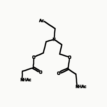 CC(=O)CN(CCOC(=O)CNC(C)=O)CCOC(=O)CNC(C)=O